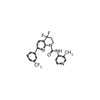 Cc1cnccc1NC(=O)N1CCC(F)(F)c2ccc(-c3cccc(C(F)(F)F)c3)nc21